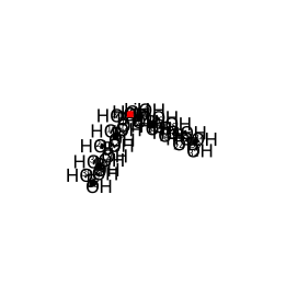 OB(O)O.OB(O)O.OB(O)O.OB(O)O.OB(O)O.OB(O)O.OB(O)O.OB(O)O.OB(O)O.OB(O)O.[LiH]